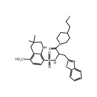 CC1(C)CNc2c(S(=O)(=O)NC(Cc3nc4ccccc4s3)C(=O)N3CCC(CCF)CC3)ccc(C(=O)O)c2C1